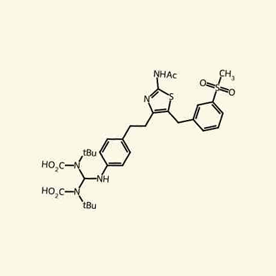 CC(=O)Nc1nc(CCc2ccc(NC(N(C(=O)O)C(C)(C)C)N(C(=O)O)C(C)(C)C)cc2)c(Cc2cccc(S(C)(=O)=O)c2)s1